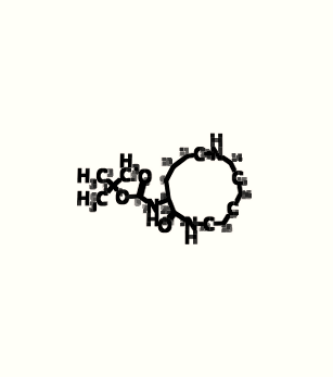 CC(C)(C)OC(=O)NC1CCCCNCCCCCCNC1=O